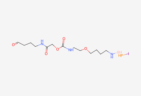 O=CCCCNC(=O)COC(=O)NCCOCCCCNBPI